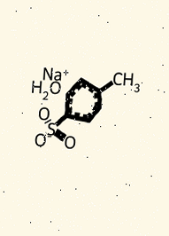 Cc1ccc(S(=O)(=O)[O-])cc1.O.[Na+]